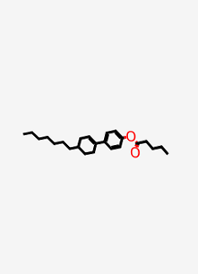 CCCCCCCC1CC=C(c2ccc(OC(=O)CCCC)cc2)CC1